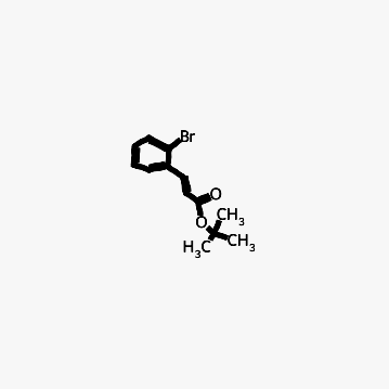 CC(C)(C)OC(=O)C=Cc1ccccc1Br